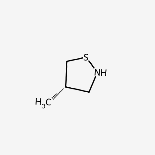 C[C@H]1CNSC1